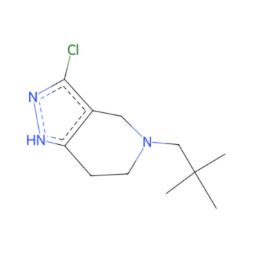 CC(C)(C)CN1CCc2[nH]nc(Cl)c2C1